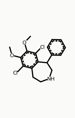 COc1c(Cl)c2c(c(Cl)c1OC)C(c1ccccc1)CNCC2